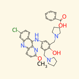 COc1ccc2nc3cc(Cl)ccc3c(Nc3cc(CN4CCCC4)c(O)c(CN4CCCC4)c3)c2n1.O=C(O)c1ccccc1